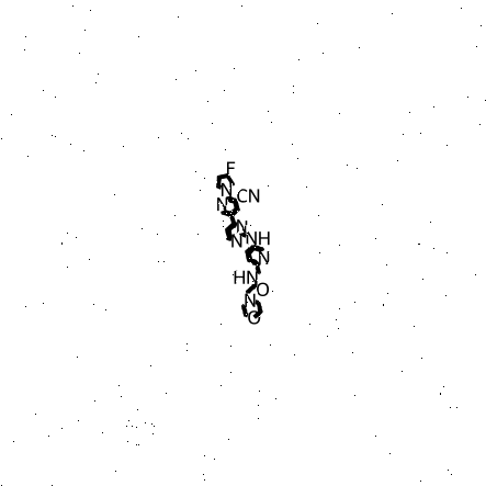 N#Cc1cc(-c2ccnc(Nc3ccc(CNC(=O)CN4CCOCC4)nc3)n2)cnc1N1CC[C@H](F)C1